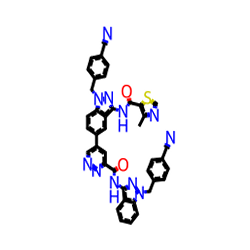 Cc1ncsc1C(=O)Nc1nn(Cc2ccc(C#N)cc2)c2ccc(-c3cnnc(C(=O)Nc4nn(Cc5ccc(C#N)cc5)c5ccccc45)c3)cc12